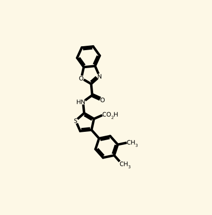 Cc1ccc(-c2csc(NC(=O)c3nc4ccccc4o3)c2C(=O)O)cc1C